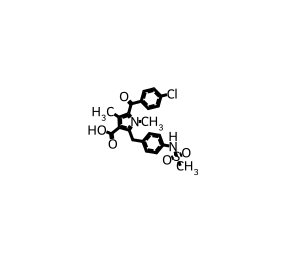 Cc1c(C(=O)O)c(Cc2ccc(NS(C)(=O)=O)cc2)n(C)c1C(=O)c1ccc(Cl)cc1